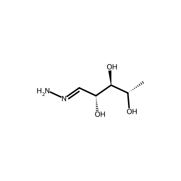 C[C@H](O)[C@H](O)[C@H](O)C=NN